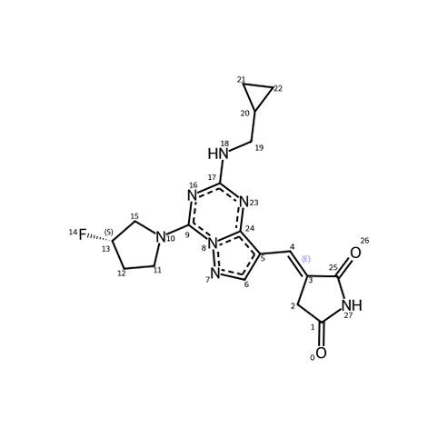 O=C1C/C(=C\c2cnn3c(N4CC[C@H](F)C4)nc(NCC4CC4)nc23)C(=O)N1